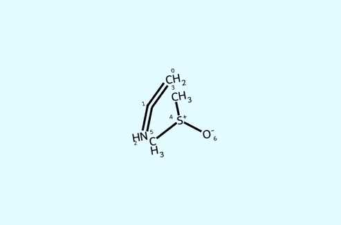 C=C=N.C[S+](C)[O-]